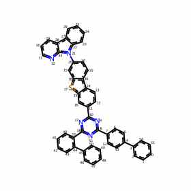 c1ccc(-c2ccc(-c3nc(-c4ccc5c(c4)sc4cc(-n6c7ccccc7c7cccnc76)ccc45)nc(-c4ccccc4-c4ccccc4)n3)cc2)cc1